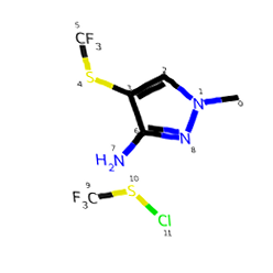 Cn1cc(SC(F)(F)F)c(N)n1.FC(F)(F)SCl